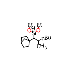 CCCCC(C)C([SiH](OCC)OCC)C12CCC(CC1)C2